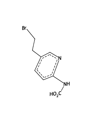 O=C(O)Nc1ccc(CCBr)cn1